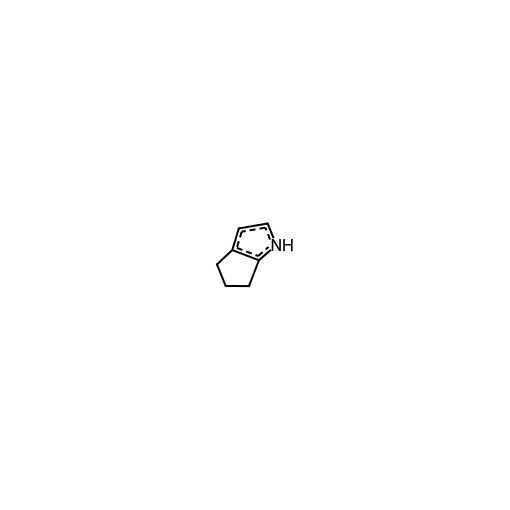 c1cc2c([nH]1)CCC2